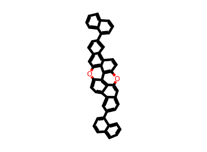 c1ccc2c(-c3ccc4cc5oc6ccc7c8cc(-c9cccc%10ccccc9%10)ccc8cc8oc9ccc(c4c3)c5c9-c6c87)cccc2c1